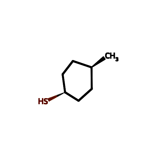 C[C@H]1CC[C@H](S)CC1